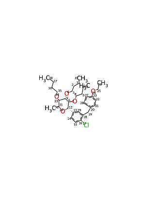 CCCCO[C@@H]1[C@@H](OCCCC)[C@H](c2ccc(Cl)c(Cc3ccc(OCC)cc3)c2)OC(C)[C@H]1OCCCC